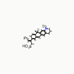 CCN1CCCc2cc3c(cc21)C(C)(C)C1=CCC(/C(=C\C(C)C)CS(=O)(=O)O)=CC1=C3